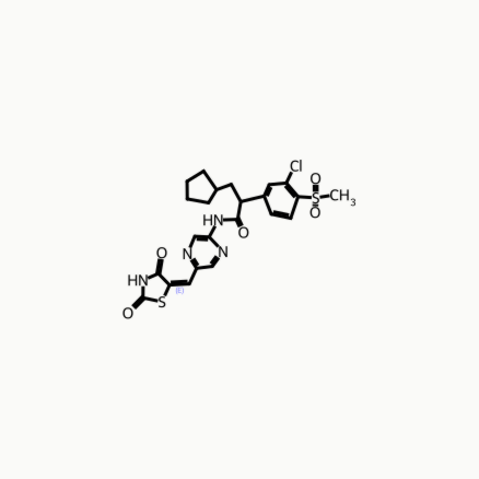 CS(=O)(=O)c1ccc(C(CC2CCCC2)C(=O)Nc2cnc(/C=C3/SC(=O)NC3=O)cn2)cc1Cl